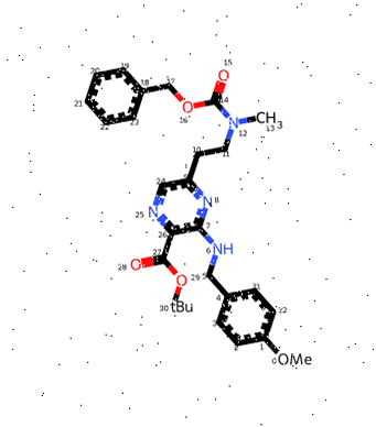 COc1ccc(CNc2nc(CCN(C)C(=O)OCc3ccccc3)cnc2C(=O)OC(C)(C)C)cc1